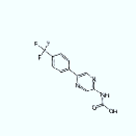 O=C(O)Nc1cnc(-c2ccc(C(F)(F)F)cc2)cn1